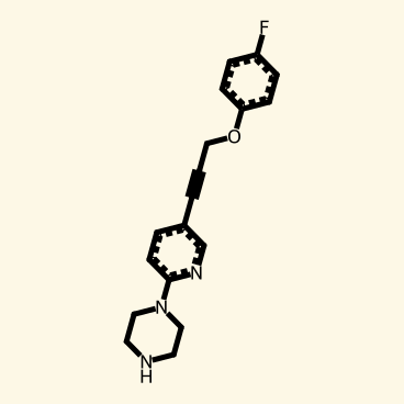 Fc1ccc(OCC#Cc2ccc(N3CCNCC3)nc2)cc1